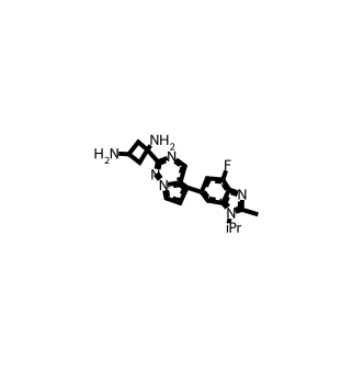 Cc1nc2c(F)cc(-c3ccn4nc(C5(N)CC(N)C5)ncc34)cc2n1C(C)C